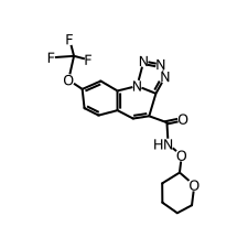 O=C(NOC1CCCCO1)c1cc2ccc(OC(F)(F)F)cc2n2nnnc12